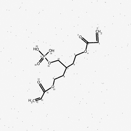 C=CC(=O)OCCC(CCOC(=O)C=C)COP(=O)(O)O